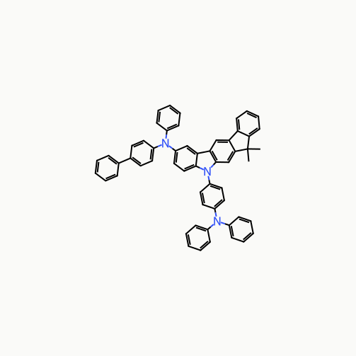 CC1(C)c2ccccc2-c2cc3c4cc(N(c5ccccc5)c5ccc(-c6ccccc6)cc5)ccc4n(-c4ccc(N(c5ccccc5)c5ccccc5)cc4)c3cc21